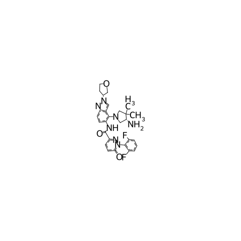 CC1(C)CN(c2c(NC(=O)c3ccc(=O)n(-c4c(F)cccc4F)n3)ccc3nn([C@@H]4CCOC4)cc23)C[C@H]1N